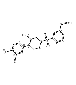 C[C@H]1CN(S(=O)(=O)c2cccc(CC(=O)O)c2)CCN1c1ccc(C(F)(F)F)c(F)c1